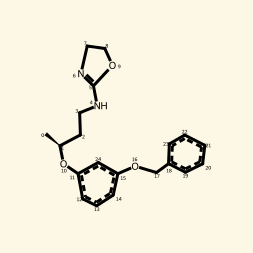 C[C@@H](CCNC1=NCCO1)Oc1cccc(OCc2ccccc2)c1